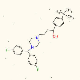 CC(C)(C)c1ccc(C(O)CCCN2CCN(C(c3ccc(F)cc3)c3ccc(F)cc3)CC2)cc1